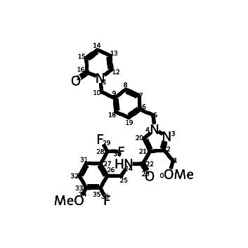 COCc1nn(Cc2ccc(Cn3ccccc3=O)cc2)cc1C(=O)NCc1c(C(F)F)ccc(OC)c1F